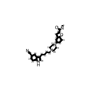 C=NC(=O)c1cc2cc(N3CCN(CCCCc4c[nH]c5ccc(C#N)cc45)CC3)ccc2o1